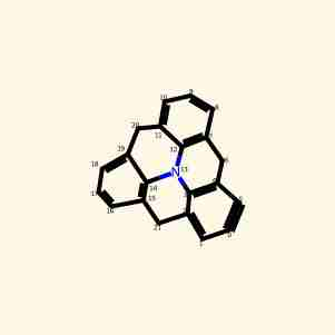 c1cc2c3c(c#1)Cc1cccc4c1N3c1c(cccc1C4)C2